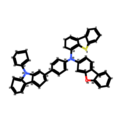 C1=c2c(sc3ccccc23)=C(N(c2ccc(-c3ccc4c5ccccc5n(-c5ccccc5)c4c3)cc2)c2ccc3c(c2)oc2ccccc23)CC1